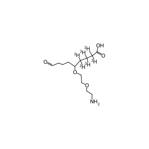 [2H]C([2H])(C(=O)O)C([2H])([2H])C([2H])([2H])C(CCCC=O)OCCOCCN